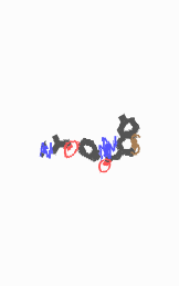 Cc1ccc2c(c1)C1=NN(c3ccc(OCC(C)CN(C)C)cc3)C(=O)CC1CS2